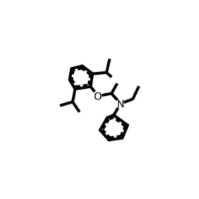 CCN(c1ccccc1)C(C)Oc1c(C(C)C)cccc1C(C)C